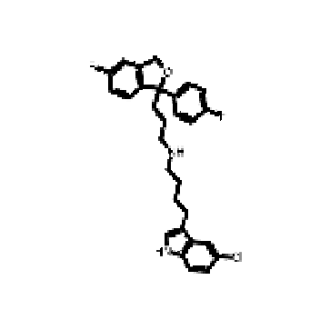 Fc1ccc(C2(CCCNCCCCc3c[nH]c4ccc(Cl)cc34)OCc3cc(F)ccc32)cc1